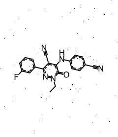 CCn1nc(-c2cccc(F)c2)c(C#N)c(Nc2ccc(C#N)cc2)c1=O